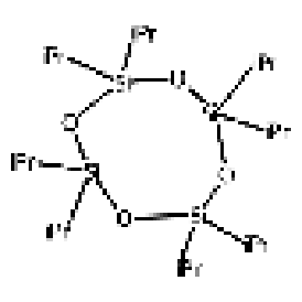 CC(C)[Si]1(C(C)C)O[Si](C(C)C)(C(C)C)O[Si](C(C)C)(C(C)C)O[Si](C(C)C)(C(C)C)O1